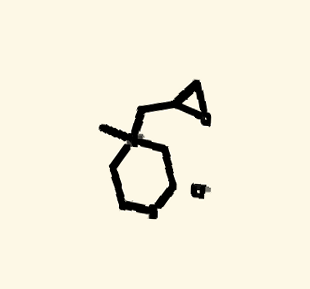 C[N+]1(CC2CO2)CCSCC1.[Cl-]